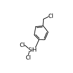 ClCc1ccc(C[SiH](Cl)Cl)cc1